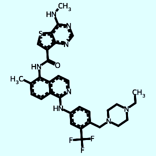 CCN1CCN(Cc2ccc(Nc3nccc4c(NC(=O)c5csc6c(NC)ncnc56)c(C)ccc34)cc2C(F)(F)F)CC1